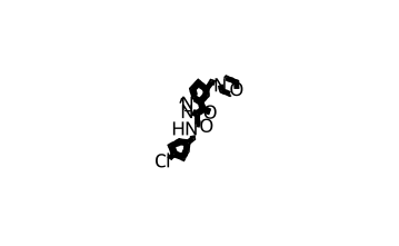 Cn1nc(C(=O)NCc2ccc(Cl)cc2)c(=O)c2cc(CN3CCOCC3)ccc21